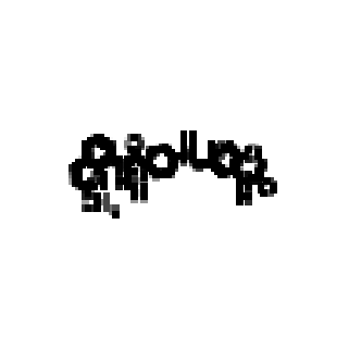 Cc1ccc2cccc(NC(=O)[C@]3(O)CC[C@@H](NCc4cc5c(cn4)OCC(=O)N5)CC3)c2n1